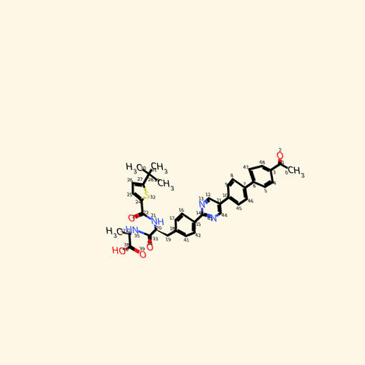 CC(=O)c1ccc(-c2ccc(-c3cnc(-c4ccc(C[C@H](NC(=O)c5ccc(C(C)(C)C)s5)C(=O)N[C@H](C)C(=O)O)cc4)nc3)cc2)cc1